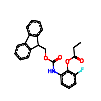 CCC(=O)Oc1c(F)cccc1NC(=O)OCC1c2ccccc2-c2ccccc21